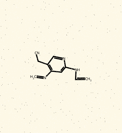 C=CNc1cc(N=C)c(CC#N)cn1